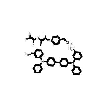 C=Cc1ccccc1.Cc1cccc(N(c2ccccc2)c2ccc(-c3ccc(N(c4ccccc4)c4cccc(C)c4)cc3)cc2)c1.FC(F)=C(F)OC(F)=C(F)F